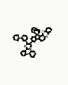 c1ccc(-c2cccc(-c3nc(-c4ccccc4-c4ccccc4)ncc3-c3ccc4c(c3)-c3ccc5c(c3C43C4CC6CC(C4)CC3C6)Oc3ccccc3S5)c2)cc1